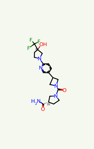 NC(=O)[C@H]1CCN(C(=O)N2CC(c3ccc(N4CC[C@](O)(C(F)(F)F)C4)nc3)C2)C1